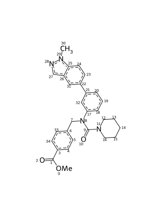 COC(=O)c1ccc(CN(C(=O)N2CCCCC2)c2cccc(-c3ccc4c(cnn4C)c3)c2)cc1